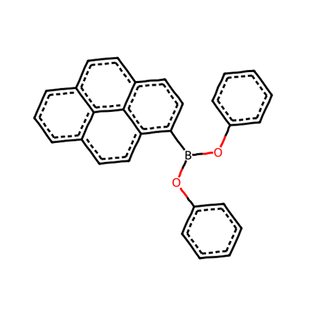 c1ccc(OB(Oc2ccccc2)c2ccc3ccc4cccc5ccc2c3c45)cc1